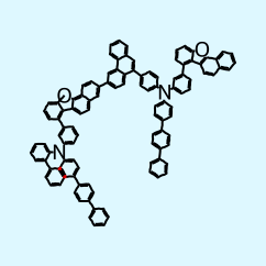 c1ccc(-c2ccc(-c3ccc(N(c4ccc(-c5cc6ccccc6c6cc(-c7ccc8c(ccc9c8oc8cccc(-c%10cccc(N(c%11ccc(-c%12ccc(-c%13ccccc%13)cc%12)cc%11)c%11ccccc%11-c%11ccccc%11)c%10)c89)c7)ccc56)cc4)c4cccc(-c5cccc6oc7c8ccccc8ccc7c56)c4)cc3)cc2)cc1